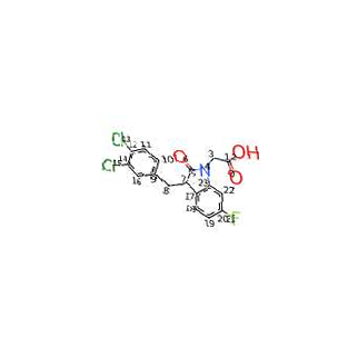 O=C(O)CN1C(=O)C(Cc2ccc(Cl)c(Cl)c2)c2ccc(F)cc21